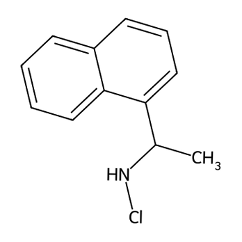 CC(NCl)c1cccc2ccccc12